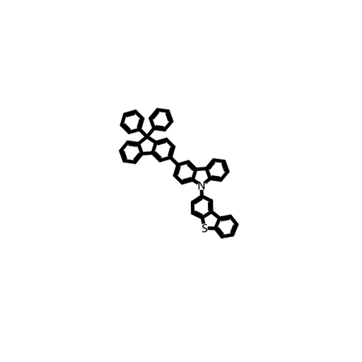 c1ccc(C2(c3ccccc3)c3ccccc3-c3cc(-c4ccc5c(c4)c4ccccc4n5-c4ccc5sc6ccccc6c5c4)ccc32)cc1